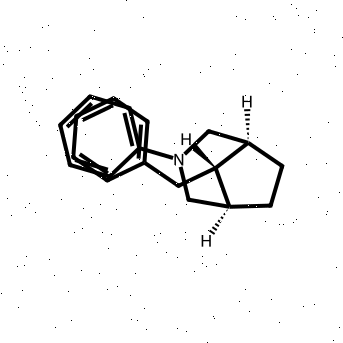 c1ccc(C[C@@H]2[C@@H]3CC[C@H]2CN(c2ccccc2)C3)cc1